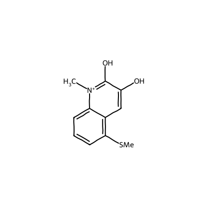 CSc1cccc2c1cc(O)c(O)[n+]2C